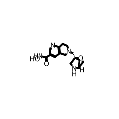 O=C(NO)c1cnc2c(c1)CN(C[C@]13CN[C@H](CO1)C3)CC2